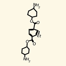 CCC.NC1CCC(OC(=O)c2ccc(C(=O)OC3CCC(N)CC3)cc2)CC1